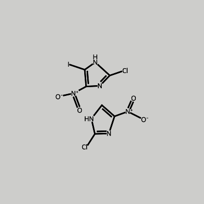 O=[N+]([O-])c1c[nH]c(Cl)n1.O=[N+]([O-])c1nc(Cl)[nH]c1I